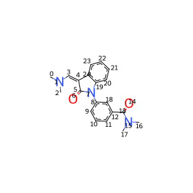 CN(C)/C=C1\C(=O)N(c2cccc(C(=O)N(C)C)c2)c2ccccc21